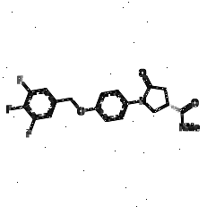 CNC(=O)[C@H]1CC(=O)N(c2ccc(OCc3cc(F)c(F)c(F)c3)cc2)C1